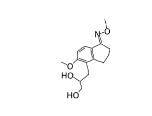 CO/N=C1\CCCc2c1ccc(OC)c2CC(O)CO